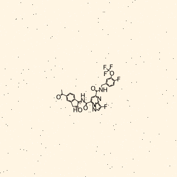 CC(=O)c1ccc2c(c1)C[C@@H](O)[C@@H]2NC(=O)c1cc(C(=O)NCc2ccc(F)c(OC(F)(F)F)c2)nc2c(F)cnn12